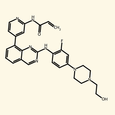 C=CC(=O)Nc1cc(-c2cccc3cnc(Nc4ccc(N5CCN(CCO)CC5)cc4F)nc23)ccn1